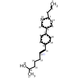 C=CCc1ncc(-c2ccc(/C=C/CCCC(C)O)cc2)cn1